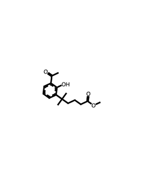 COC(=O)CCCC(C)(C)c1cccc(C(C)=O)c1O